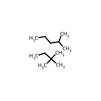 CCC(C)(C)C.CCCC(C)C